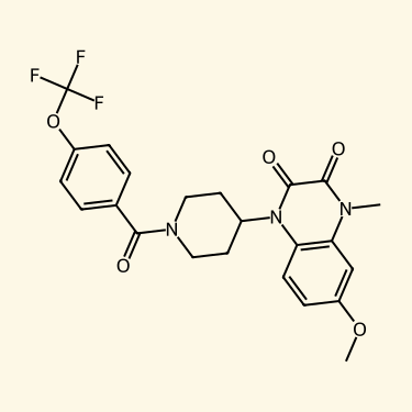 COc1ccc2c(c1)n(C)c(=O)c(=O)n2C1CCN(C(=O)c2ccc(OC(F)(F)F)cc2)CC1